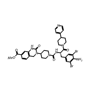 COC(=O)c1ccc2c(c1)NC(=O)N(C1CCN(C(=O)N[C@H](Cc3cc(Br)c(N)c(Br)c3)C(=O)N3CCC(c4ccncc4)CC3)CC1)C2